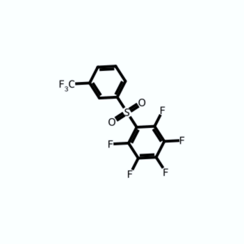 O=S(=O)(c1cccc(C(F)(F)F)c1)c1c(F)c(F)c(F)c(F)c1F